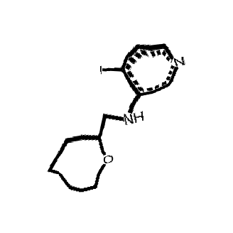 Ic1ccncc1NCC1CCCCO1